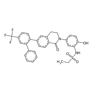 CCS(=O)(=O)Nc1cc(N2CCc3cc(-c4ccc(C(F)(F)F)cc4-c4ccccc4)ccc3C2=O)ccc1O